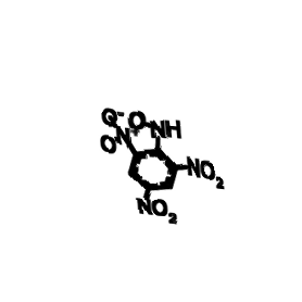 O=[N+]([O-])c1cc([N+](=O)[O-])c2c(c1)[N+]([O-])([O-])ON2